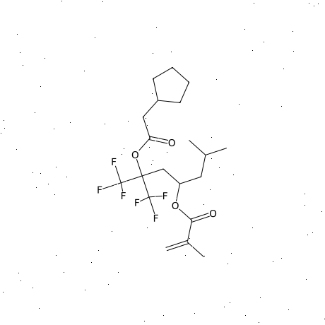 C=C(C)C(=O)OC(CC(C)C)CC(OC(=O)CC1CCCC1)(C(F)(F)F)C(F)(F)F